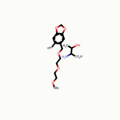 CC(O)C(N)C(=O)O.CCCCOCCOCCOCc1cc2c(cc1CCC)OCO2